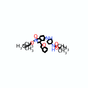 CC(C)(C)OC(=O)N[C@H]1CC[C@H](Nc2ccc3c(=O)n(COCC[Si](C)(C)C)cc(-c4cc5ccccc5o4)c3c2)CC1